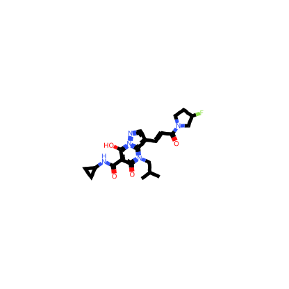 CC(C)Cn1c(=O)c(C(=O)NC2CC2)c(O)n2ncc(C=CC(=O)N3CCC(F)C3)c12